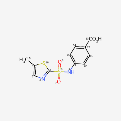 Cc1cnc(S(=O)(=O)Nc2ccc(C(=O)O)cc2)s1